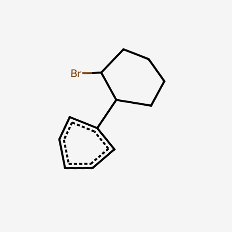 BrC1CCCCC1c1ccccc1